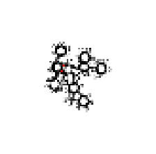 CC1(C)c2ccccc2-c2ccc(N(C3=CC=CC4c5c(cc(-c6ccccc6)c6ccccc56)OC34)C3CC=CC=C3c3ccc(-c4ccccc4)cc3)cc21